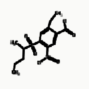 CCCC(C)S(=O)(=O)c1cc(CC)c(C(=O)Cl)cc1[N+](=O)[O-]